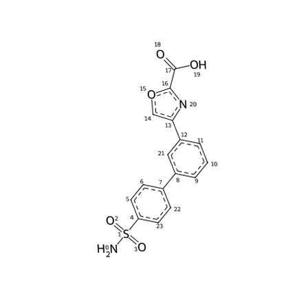 NS(=O)(=O)c1ccc(-c2cccc(-c3coc(C(=O)O)n3)c2)cc1